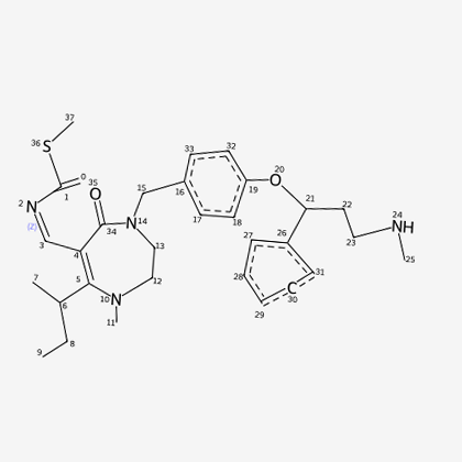 C=C(/N=C\C1=C(C(C)CC)N(C)CCN(Cc2ccc(OC(CCNC)c3ccccc3)cc2)C1=O)SC